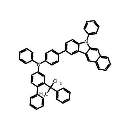 CC(C)(c1ccccc1)c1cc(N(c2ccccc2)c2ccc(-c3ccc4c(c3)c3cc5ccccc5cc3n4-c3ccccc3)cc2)ccc1-c1ccccc1